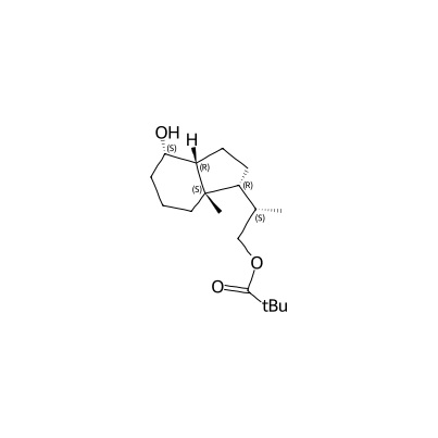 C[C@H](COC(=O)C(C)(C)C)[C@H]1CC[C@H]2[C@@H](O)CCC[C@@]12C